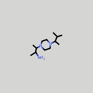 CC(C)C(C)N1CCN(C(C)C(C)N)CC1